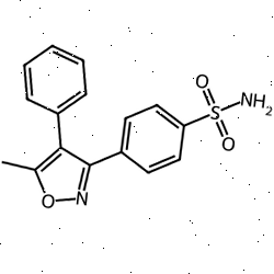 Cc1onc(-c2ccc(S(N)(=O)=O)cc2)c1-c1ccccc1